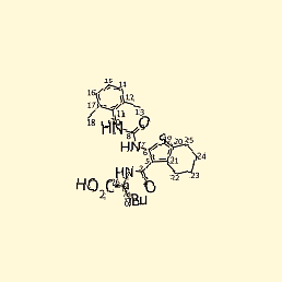 CC[C@H](C)[C@H](NC(=O)c1c(NC(=O)Nc2c(C)cccc2C)sc2c1CCCC2)C(=O)O